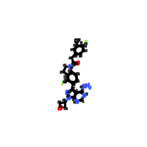 Nc1ncnc2c1c(-c1ccc3c(c1F)CCN3C(=O)Cc1ccc(F)c(C(F)(F)F)c1)nn2C1COC1